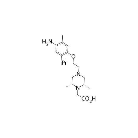 Cc1cc(OCCN2C[C@@H](C)N(CC(=O)O)[C@@H](C)C2)c(C(C)C)cc1N